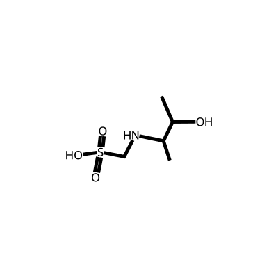 CC(O)C(C)NCS(=O)(=O)O